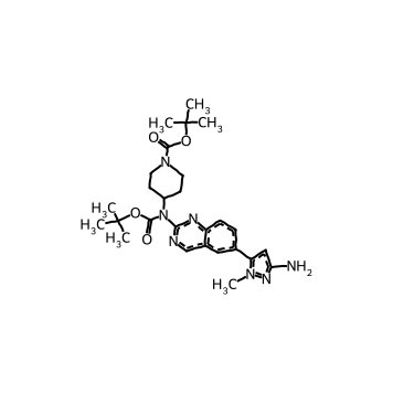 Cn1nc(N)cc1-c1ccc2nc(N(C(=O)OC(C)(C)C)C3CCN(C(=O)OC(C)(C)C)CC3)ncc2c1